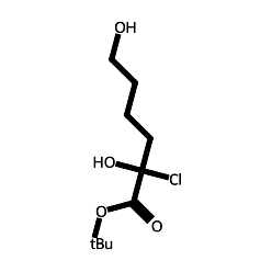 CC(C)(C)OC(=O)C(O)(Cl)CCCCO